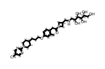 O=C(Cc1ccc(OCCCC2CCN(c3ncc(Cl)cn3)CC2)cc1F)N1CC(CNC[C@H](O)[C@@H](O)[C@H](O)[C@H](O)CO)C1